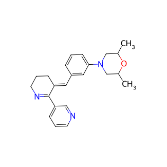 CC1CN(c2cccc(/C=C3\CCCN=C3c3cccnc3)c2)CC(C)O1